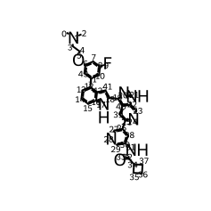 CN(C)CCOc1cc(F)cc(-c2cccc3[nH]c(-c4n[nH]c5cnc(-c6cncc(NC(=O)C7CCC7)c6)cc45)cc23)c1